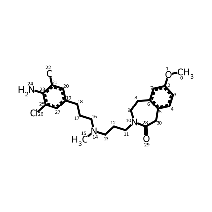 COc1ccc2c(c1)CCN(CCCN(C)CCCc1cc(Cl)c(N)c(Cl)c1)C(=O)C2